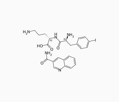 NC(=O)c1cnc2ccccc2c1.NCCC[C@H](NC(=O)[C@@H](N)Cc1ccc(I)cc1)C(=O)O